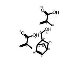 C=C(C)C(=O)O.C=C(C)C(=O)O.OCC1CC2C=CC1C2